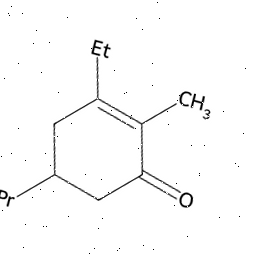 CCC1=C(C)C(=O)CC(C(C)C)C1